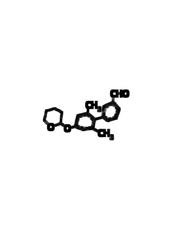 Cc1cc(OC2CCCCO2)cc(C)c1-c1cccc(C=O)c1